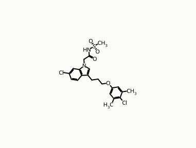 Cc1cc(OCCCc2cn(CC(=O)NS(C)(=O)=O)c3cc(Cl)ccc23)cc(C)c1Cl